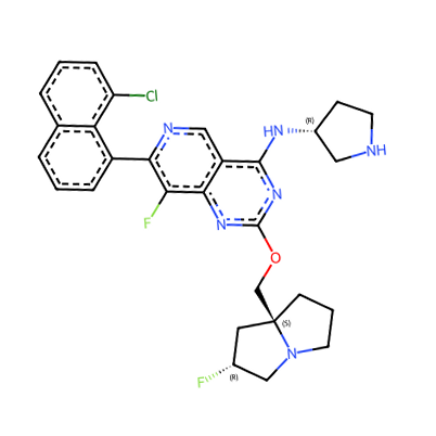 Fc1c(-c2cccc3cccc(Cl)c23)ncc2c(N[C@@H]3CCNC3)nc(OC[C@@]34CCCN3C[C@H](F)C4)nc12